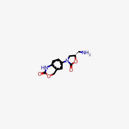 NC[C@H]1CN(c2ccc3c(c2)COC(=O)N3)C(=O)O1